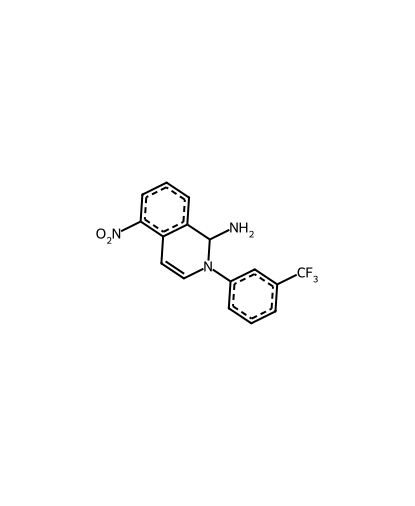 NC1c2cccc([N+](=O)[O-])c2C=CN1c1cccc(C(F)(F)F)c1